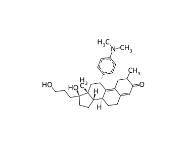 CC1CC2=C3[C@@H](CCC2=CC1=O)[C@@H]1CC[C@](O)(CCCO)[C@]1(C)C[C@@H]3c1ccc(N(C)C)cc1